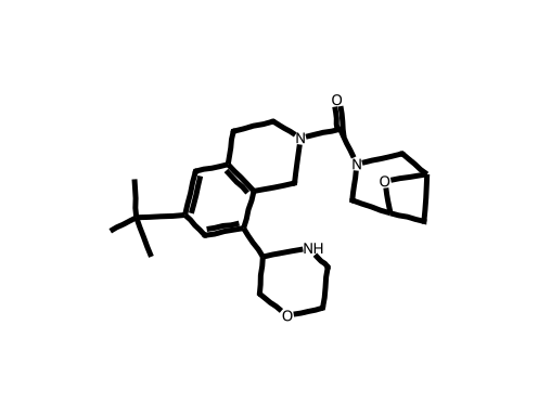 CC(C)(C)c1cc2c(c(C3COCCN3)c1)CN(C(=O)N1CC3CC(C1)O3)CC2